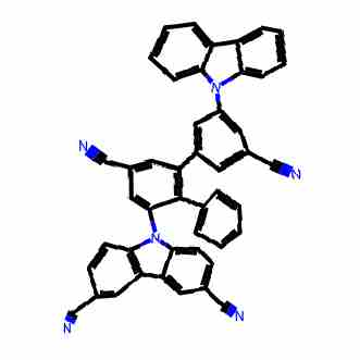 N#Cc1cc(-c2cc(C#N)cc(-n3c4ccc(C#N)cc4c4cc(C#N)ccc43)c2-c2ccccc2)cc(-n2c3ccccc3c3ccccc32)c1